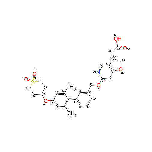 Cc1cc(OC2CCS(=O)(=O)CC2)cc(C)c1-c1cccc(COc2cc3c(cn2)[C@H](CC(=O)O)CO3)c1